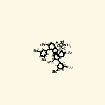 CCCc1ccc2c(c1-c1cc(C(C)(C)C)cc(C(C)(C)C)c1)C=C(C(C)(C)C)[CH]2[Zr]([Cl])([Cl])([CH]1C(C(C)(C)C)=Cc2c1ccc(CCC)c2-c1cc(C(C)(C)C)cc(C(C)(C)C)c1)[SiH](C)C